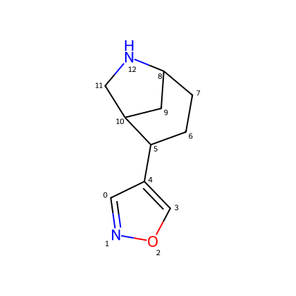 c1nocc1C1CCC2CC1CN2